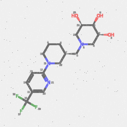 O[C@H]1[C@H](O)CN(C[C@H]2CCCN(c3ccc(C(F)(F)F)cn3)C2)C[C@@H]1O